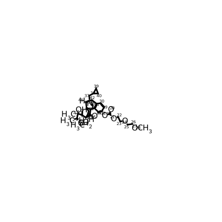 C=C(C)[C@@](C)(O)[C@H]1C[C@@]23CC[C@@]1(OC)[C@@H]1Oc4c(OC(=O)OCCOCCOC)ccc5c4[C@@]12CCN(CC1CC1)[C@@H]3C5